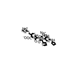 Cn1nnnc1SCC1=C(C(=O)[O-])N2C(=O)C(NC(=O)C(c3cccs3)N(C(N)=O)c3cnc(NC4CCCC4)nc3O)[C@H]2SC1.[Na+]